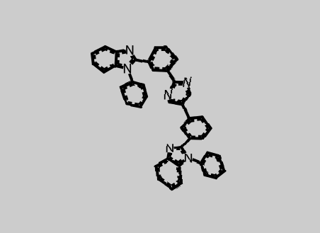 c1ccc(-n2c(-c3cccc(-c4cnc(-c5cccc(-c6nc7ccccc7n6-c6ccccc6)c5)nc4)c3)nc3ccccc32)cc1